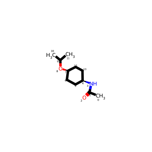 CC(=O)N[C@H]1CC[C@@H](OC(C)C)CC1